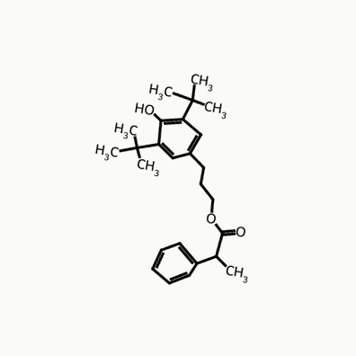 CC(C(=O)OCCCc1cc(C(C)(C)C)c(O)c(C(C)(C)C)c1)c1ccccc1